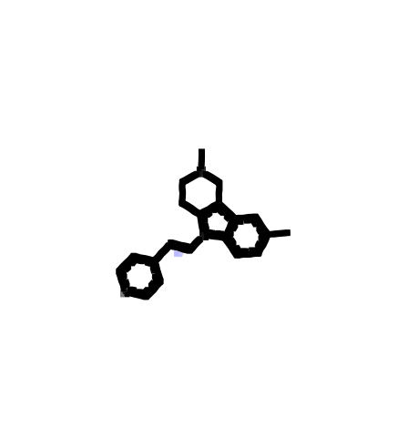 Cc1ccc2c(c1)c1c(n2/C=C/c2ccncc2)CCN(C)C1